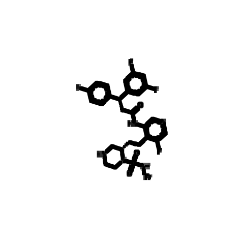 CC(C)NS(=O)(=O)N1CCNC[C@@H]1CCc1c(F)cncc1NC(=O)C[C@@H](c1ccc(F)cc1)c1cc(F)cc(F)c1